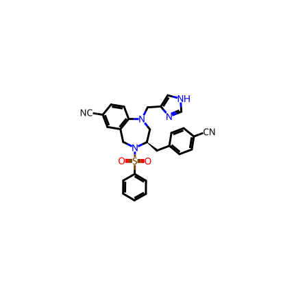 N#Cc1ccc(C[C@@H]2CN(Cc3c[nH]cn3)c3ccc(C#N)cc3CN2S(=O)(=O)c2ccccc2)cc1